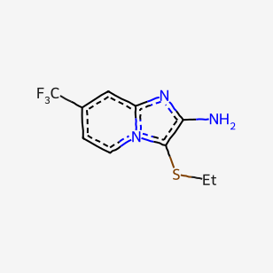 CCSc1c(N)nc2cc(C(F)(F)F)ccn12